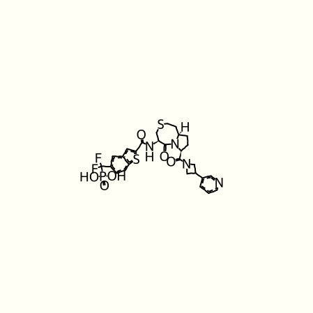 O=C(N[C@H]1CSCC[C@H]2CC[C@@H](C(=O)N3CC(c4cccnc4)C3)N2C1=O)c1cc2cc(C(F)(F)P(=O)(O)O)ccc2s1